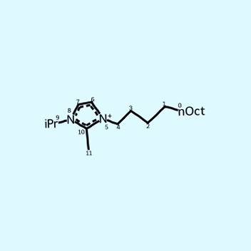 CCCCCCCCCCCC[n+]1ccn(C(C)C)c1C